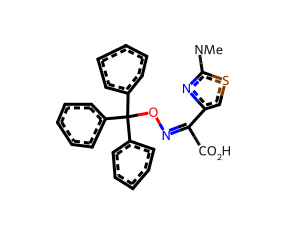 CNc1nc(/C(=N\OC(c2ccccc2)(c2ccccc2)c2ccccc2)C(=O)O)cs1